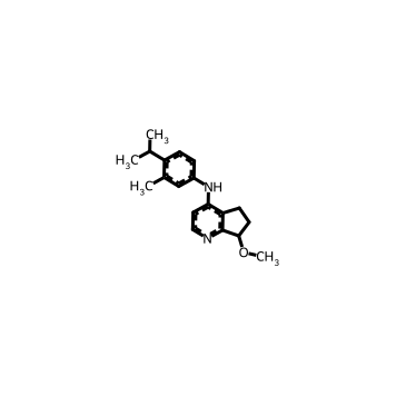 COC1CCc2c(Nc3ccc(C(C)C)c(C)c3)ccnc21